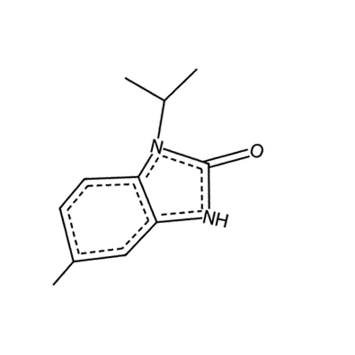 Cc1ccc2c(c1)[nH]c(=O)n2C(C)C